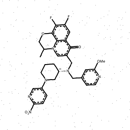 COc1cc(CN(Cc2cn3c4c(c(F)c(F)cc4c2=O)OCC3C)[C@H]2CCCN(c3ccc([N+](=O)[O-])nc3)C2)ccn1